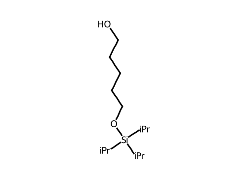 CC(C)[Si](OCCCCCO)(C(C)C)C(C)C